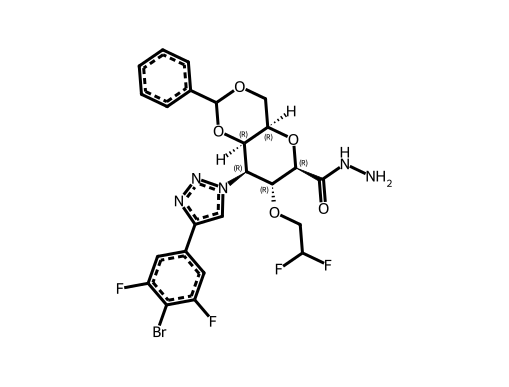 NNC(=O)[C@@H]1O[C@@H]2COC(c3ccccc3)O[C@@H]2[C@H](n2cc(-c3cc(F)c(Br)c(F)c3)nn2)[C@H]1OCC(F)F